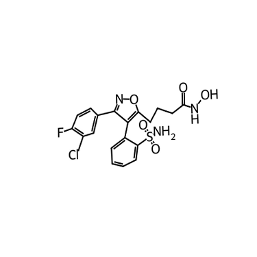 NS(=O)(=O)c1ccccc1-c1c(-c2ccc(F)c(Cl)c2)noc1CCCC(=O)NO